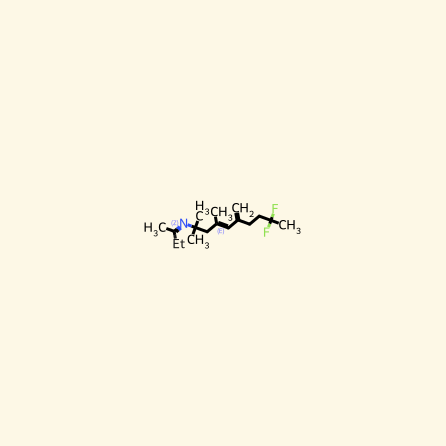 C=C(/C=C(\C)CC(C)(C)/N=C(/C)CC)CCC(C)(F)F